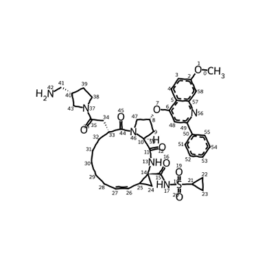 COc1ccc2c(O[C@@H]3C[C@H]4C(=O)N[C@]5(C(=O)NS(=O)(=O)C6CC6)CC5/C=C\CCCCC[C@H](CC(=O)N5CC[C@@H](CN)C5)C(=O)N4C3)cc(-c3ccccc3)nc2c1